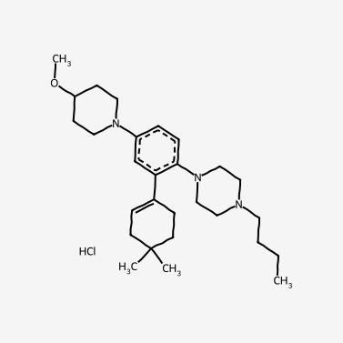 CCCCN1CCN(c2ccc(N3CCC(OC)CC3)cc2C2=CCC(C)(C)CC2)CC1.Cl